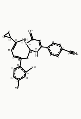 N#Cc1ccc(C2=CC(=O)N3N/C(C4CC4)=C\C=C(\c4ccc(F)cc4F)CC3N2)cc1